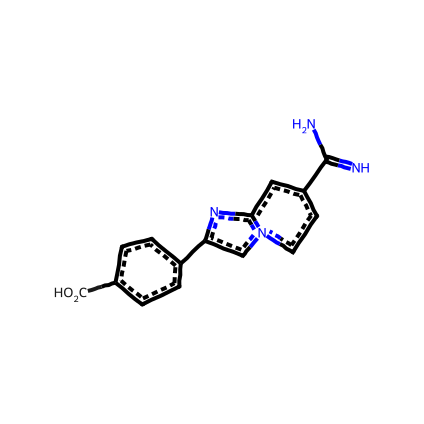 N=C(N)c1ccn2cc(-c3ccc(C(=O)O)cc3)nc2c1